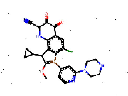 COC1=S(c2ccnc(N3CCNCC3)c2)c2c(F)cc3c(c2C1C1CC1)NC(C#N)C(=O)C3=O